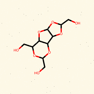 OCC1OC2OC3C(CO)OC(CO)OC3C2O1